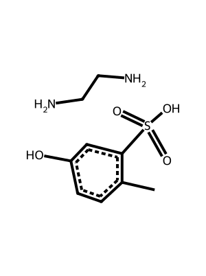 Cc1ccc(O)cc1S(=O)(=O)O.NCCN